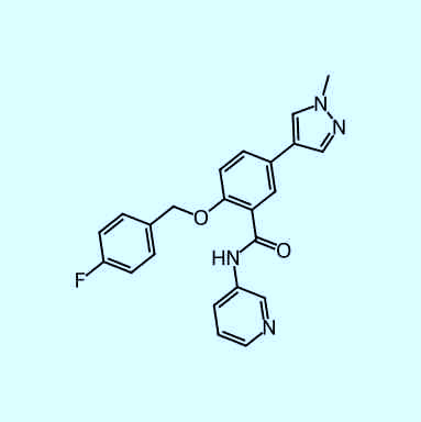 Cn1cc(-c2ccc(OCc3ccc(F)cc3)c(C(=O)Nc3cccnc3)c2)cn1